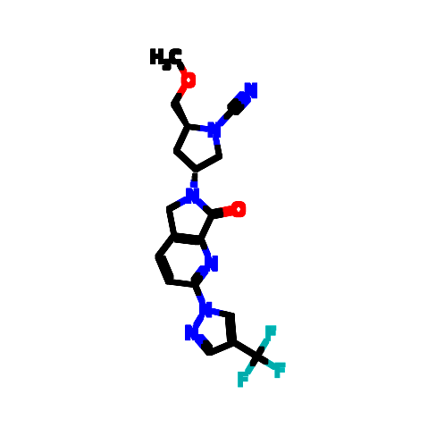 COC[C@@H]1C[C@@H](N2Cc3ccc(-n4cc(C(F)(F)F)cn4)nc3C2=O)CN1C#N